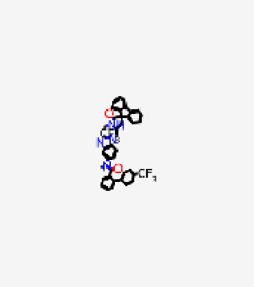 CN(C(=O)c1ccccc1-c1ccc(C(F)(F)F)cc1)c1ccc2c(c1)ncn2CCCC1(C(=O)NCC(F)(F)F)c2ccccc2-c2ccccc21